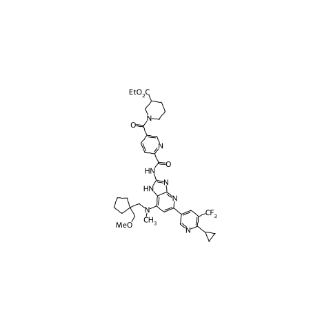 CCOC(=O)C1CCCN(C(=O)c2ccc(C(=O)Nc3nc4nc(-c5cnc(C6CC6)c(C(F)(F)F)c5)cc(N(C)CC5(COC)CCCC5)c4[nH]3)nc2)C1